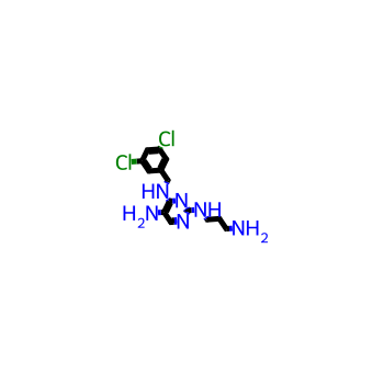 NCCCNc1ncc(N)c(NCc2cc(Cl)cc(Cl)c2)n1